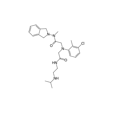 Cc1c(Cl)cccc1N(CC(=O)NCCNC(C)C)CC(=O)N(C)N1Cc2ccccc2C1